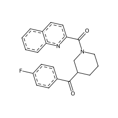 O=C(c1ccc(F)cc1)C1CCCN(C(=O)c2ccc3ccccc3n2)C1